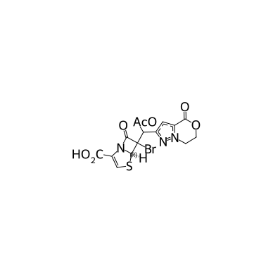 CC(=O)OC(c1cc2n(n1)CCOC2=O)C1(Br)C(=O)N2C(C(=O)O)=CS[C@@H]21